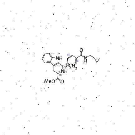 C=C(/C=C\C(=C/C)C(=O)NCC1CC1)[C@@H]1N[C@@H](C(=O)OC)Cc2c1[nH]c1ccccc21